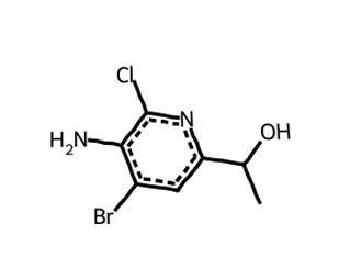 CC(O)c1cc(Br)c(N)c(Cl)n1